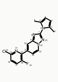 Cc1ccc(C)n1-c1nc2cc(-c3nc(Cl)ccc3F)ccn2n1